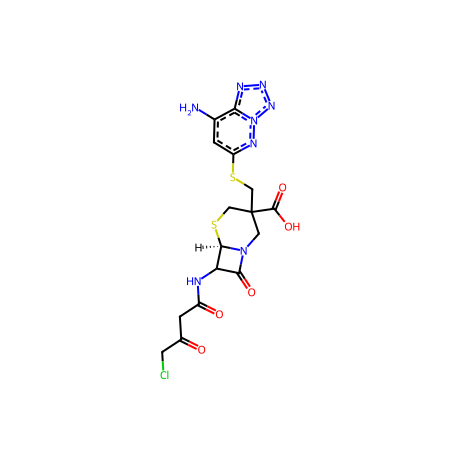 Nc1cc(SCC2(C(=O)O)CS[C@@H]3C(NC(=O)CC(=O)CCl)C(=O)N3C2)nn2nnnc12